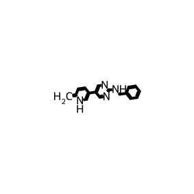 C=C1C=CC(c2cnc(NCc3ccccc3)nc2)=CN1